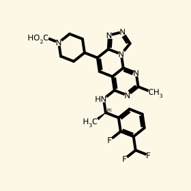 Cc1nc(N[C@H](C)c2cccc(C(F)F)c2F)c2cc(C3CCN(C(=O)O)CC3)c3nncn3c2n1